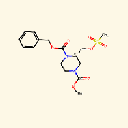 CC(C)(C)OC(=O)N1CCN(C(=O)OCc2ccccc2)[C@H](COS(C)(=O)=O)C1